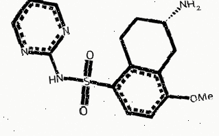 COc1ccc(S(=O)(=O)Nc2ncccn2)c2c1C[C@@H](N)CC2